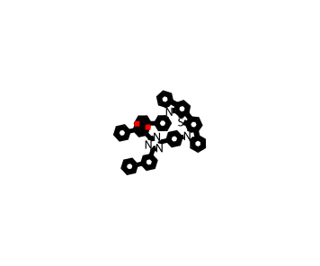 c1ccc(-c2cccc(-c3nc(-c4ccc(-n5c6ccccc6c6ccc7c8ccc9c%10ccccc%10n(-c%10cccc(-c%11ccccc%11)c%10)c9c8sc7c65)cc4)nc(-c4cccc(-c5ccccc5)c4)n3)c2)cc1